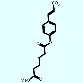 COC(=O)CCCCC(=O)Oc1ccc(/C=C/C(=O)O)cc1